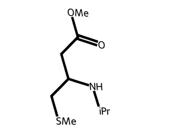 COC(=O)CC(CSC)NC(C)C